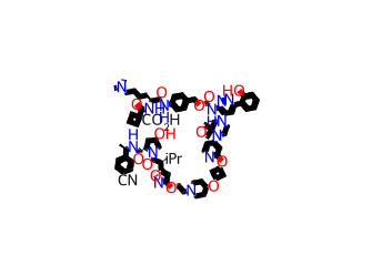 CC(C)[C@@H](C(=O)N1C[C@H](O)C[C@H]1C(=O)N[C@H](C)c1ccc(C#N)cc1)c1cc(OCCN2CCC(OC3CC(Oc4cc(N5CCN(c6cc(-c7ccccc7O)nnc6NC(=O)OCc6ccc(NC(=O)[C@H](CCCCN(C)C)NC(=O)C7(C(=O)O)CCC7)cc6)CC56COC6)ccn4)C3)CC2)no1